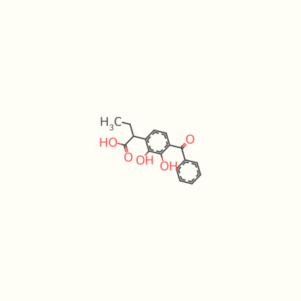 CCC(C(=O)O)c1ccc(C(=O)c2ccccc2)c(O)c1O